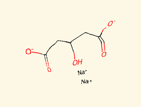 O=C([O-])CC(O)CC(=O)[O-].[Na+].[Na+]